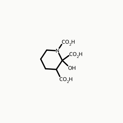 O=C(O)C1CCCN(C(=O)O)C1(O)C(=O)O